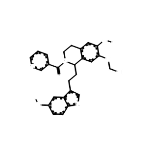 CCOc1cc2c(cc1OC)CCN(C(=O)c1cccnc1)C2CCc1c[nH]c2ccc(OC)cc12